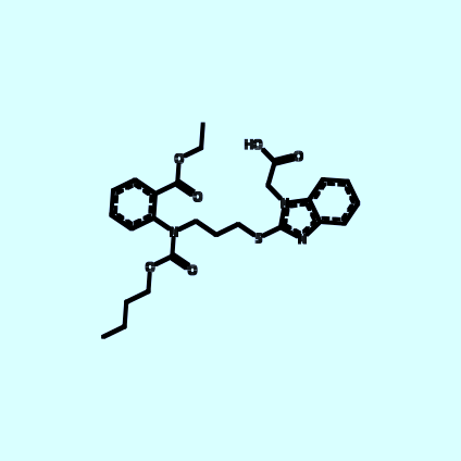 CCCCOC(=O)N(CCCSc1nc2ccccc2n1CC(=O)O)c1ccccc1C(=O)OCC